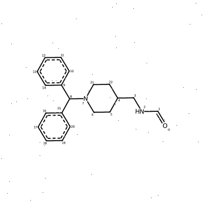 O=CNCC1CCN(C(c2ccccc2)c2ccccc2)CC1